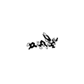 CCc1nc2c(cnn2CC)c(NC2CCOCC2)c1CNC(=O)c1cccc(C(=O)NCc2ccc(Cl)c(C)c2)n1